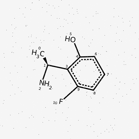 C[C@H](N)c1c(O)cccc1F